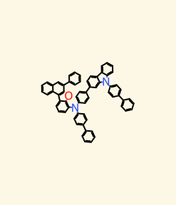 c1ccc(-c2ccc(N(c3ccc(-c4ccc5c6ccccc6n(-c6ccc(-c7ccccc7)cc6)c5c4)cc3)c3cccc4c3oc3c(-c5ccccc5)cc5ccccc5c34)cc2)cc1